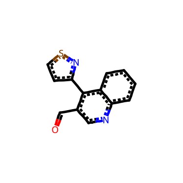 O=Cc1cnc2ccccc2c1-c1ccsn1